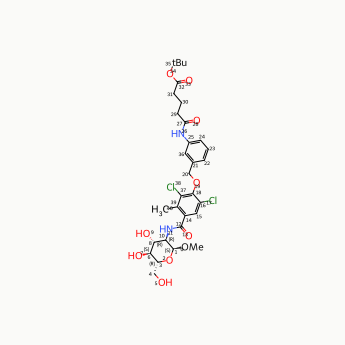 CO[C@H]1O[C@H](CO)[C@@H](O)[C@H](O)[C@H]1NC(=O)c1cc(Cl)c(OCc2cccc(NC(=O)CCCC(=O)OC(C)(C)C)c2)c(Cl)c1C